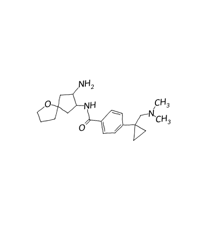 CN(C)CC1(c2ccc(C(=O)NC3CC4(CCCO4)CC3N)cc2)CC1